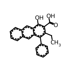 CCc1c(C(=O)O)c(O)c2cc3ccccc3cc2c1-c1ccccc1